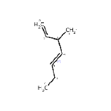 [CH2]C(C=C)/C=C/CC